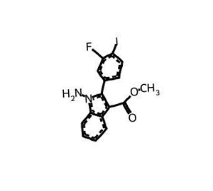 COC(=O)c1c(-c2ccc(I)c(F)c2)n(N)c2ccccc12